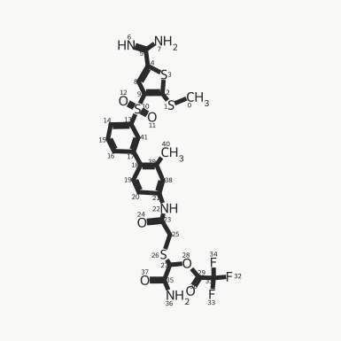 CSc1sc(C(=N)N)cc1S(=O)(=O)c1cccc(-c2ccc(NC(=O)CSC(OC(=O)C(F)(F)F)C(N)=O)cc2C)c1